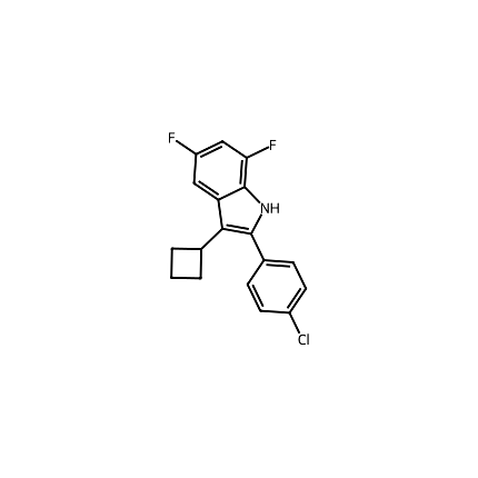 Fc1cc(F)c2[nH]c(-c3ccc(Cl)cc3)c(C3CCC3)c2c1